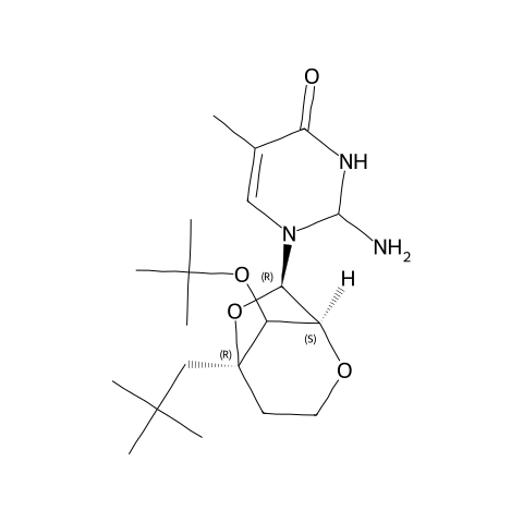 CC1=CN([C@@H]2O[C@]3(CC(C)(C)C)CCO[C@H]2C3OC(C)(C)C)C(N)NC1=O